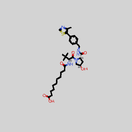 Cc1ncsc1-c1ccc(CNC(=O)[C@@H]2C[C@@H](O)CN2C(=O)[C@H](NC(=O)CCCCCCCCCC(=O)O)C(C)(C)C)cc1